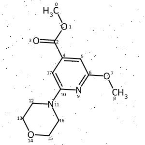 COC(=O)c1cc(OC)nc(N2CCOCC2)c1